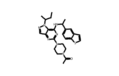 CCC(C)n1ncc2nc(N3CCN(C(C)=O)CC3)nc(NC(C)c3ccc4sccc4c3)c21